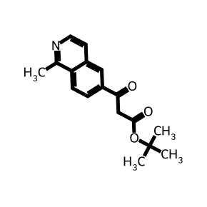 Cc1nccc2cc(C(=O)CC(=O)OC(C)(C)C)ccc12